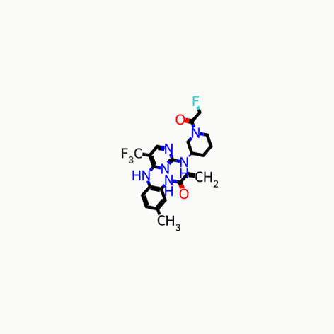 C=CC(=O)Nc1cc(C)ccc1Nc1nc(N[C@H]2CCCN(C(=O)CF)C2)ncc1C(F)(F)F